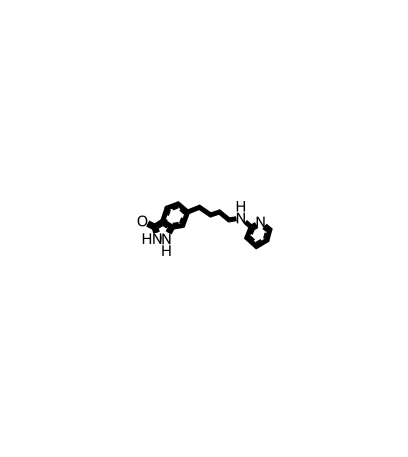 O=c1[nH][nH]c2cc(CCCCNc3ccccn3)ccc12